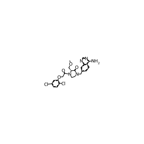 COC[C@H]1C(=O)N(Cc2ccc3c(N)ncnc3c2)CCN1C(=O)COc1cc(Cl)ccc1Cl